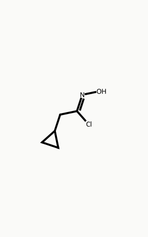 O/N=C(\Cl)CC1CC1